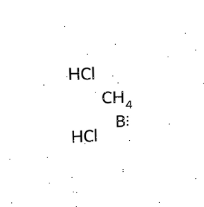 C.Cl.Cl.[B]